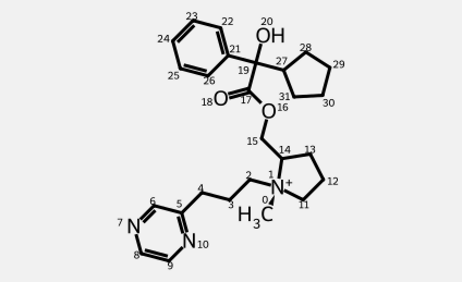 C[N@+]1(CCCc2cnccn2)CCCC1COC(=O)C(O)(c1ccccc1)C1CCCC1